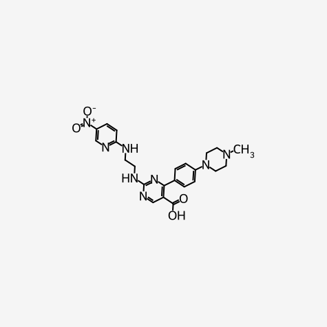 CN1CCN(c2ccc(-c3nc(NCCNc4ccc([N+](=O)[O-])cn4)ncc3C(=O)O)cc2)CC1